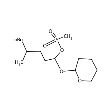 CCCCC(C)CCC(OC1CCCCO1)OS(C)(=O)=O